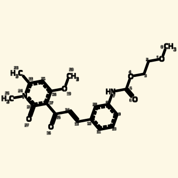 COCCOC(=O)Nc1cccc(C=CC(=O)c2c(OC)cc(C)n(C)c2=O)c1